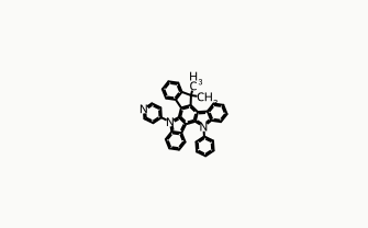 CC1(C)c2ccccc2-c2c1c1c3ccccc3n(-c3ccccc3)c1c1c3ccccc3n(-c3ccncc3)c21